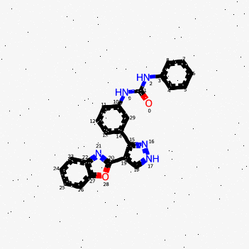 O=C(Nc1ccccc1)Nc1cccc(-c2n[nH]cc2-c2nc3ccccc3o2)c1